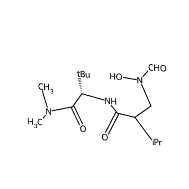 CC(C)C(CN(O)C=O)C(=O)N[C@H](C(=O)N(C)C)C(C)(C)C